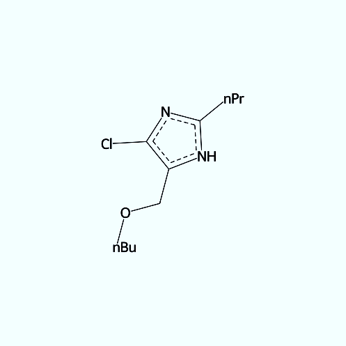 CCCCOCc1[nH]c(CCC)nc1Cl